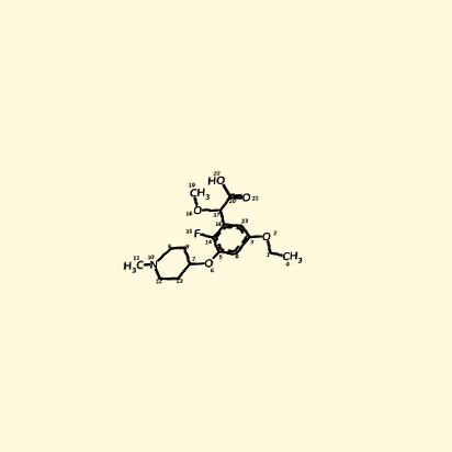 CCOc1cc(OC2CCN(C)CC2)c(F)c(C(OC)C(=O)O)c1